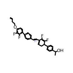 C=CCCOc1ccc(-c2ccc(/C=C/C3=CCC(c4ccc(C(C)O)cc4)C(F)=C3F)cc2)c(F)c1F